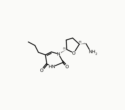 CCCc1cn([C@@H]2CC[C@H](CN)O2)c(=O)[nH]c1=O